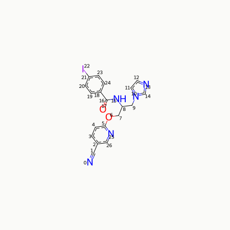 N#Cc1ccc(OCC(Cn2ccnc2)NC(=O)c2ccc(I)cc2)nc1